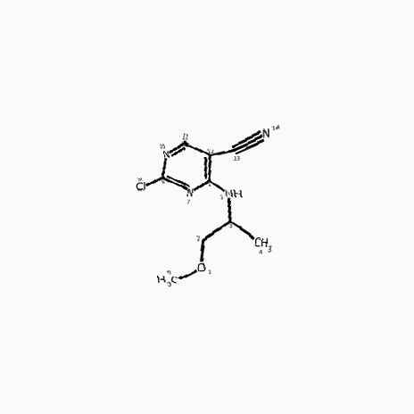 COCC(C)Nc1nc(Cl)ncc1C#N